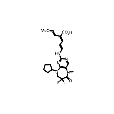 CO/C=C/C(=C\C=C\Nc1ncc2c(n1)N(C1CCCC1)CC(F)(F)C(=O)N2C)C(=O)O